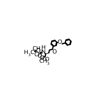 COC(=O)[C@H](CCC(=O)c1cccc(OCc2ccccc2)c1)NC(=O)OC(C)(C)C